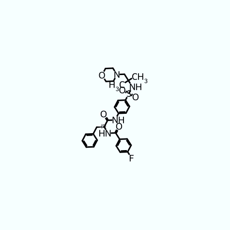 CC(C)(CN1CCOCC1)NS(=O)(=O)c1ccc(NC(=O)[C@H](Cc2ccccc2)NC(=O)c2ccc(F)cc2)cc1